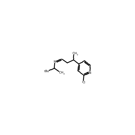 CC(C/C=N\C(C)C(C)(C)C)c1ccnc(Cl)c1